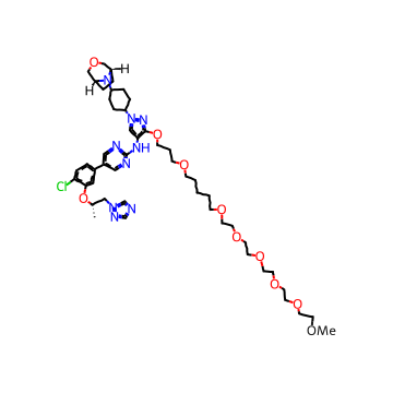 COCCOCCOCCOCCOCCOCCCCCOCCCOc1nn(C2CCC(N3[C@@H]4CC[C@H]3COC4)CC2)cc1Nc1ncc(-c2ccc(Cl)c(O[C@@H](C)Cn3cncn3)c2)cn1